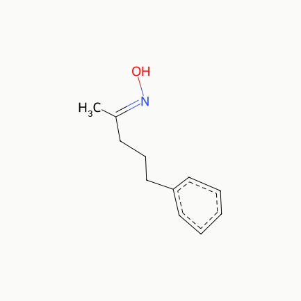 CC(CCCc1ccccc1)=NO